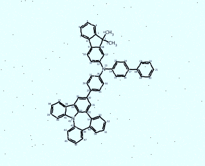 CC1(C)c2ccccc2-c2ccc(N(c3ccc(-c4ccccc4)cc3)c3ccc(-c4cc5c6c(c4)c4ccccc4n6-c4ccccc4-c4ccccc4-5)cc3)cc21